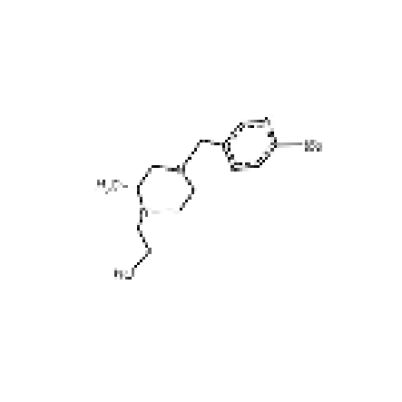 C[C@@H]1CN(Cc2ccc(C(C)(C)C)nc2)CCN1CCO